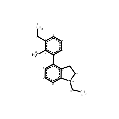 CCc1cccc(-c2cccc3c2CCN3CC)c1C